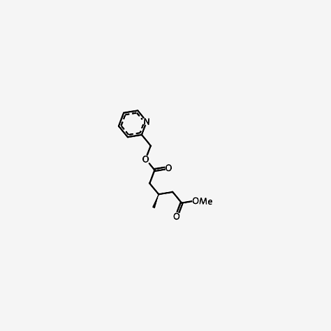 COC(=O)C[C@@H](C)CC(=O)OCc1ccccn1